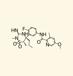 CCC[C@]1(c2cc(NC(=O)c3ncc(OC)cc3C)ccc2F)NC(=N)N(C)S(=O)(=O)[C@@H]1C